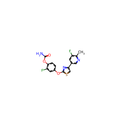 Cc1ncc(-c2csc(Oc3ccc(OC(N)=O)c(F)c3)n2)cc1F